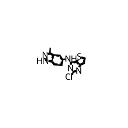 Cc1n[nH]c2ccc(Nc3nc(Cl)nc4ccsc34)cc12